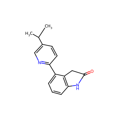 CC(C)c1ccc(-c2cccc3c2CC(=O)N3)nc1